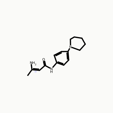 C/C(N)=C/C(=O)Nc1ccc(N2CCCCC2)cc1